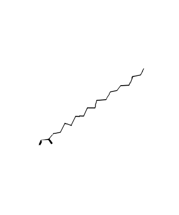 CCCCCCCCCCCCCCCCCC(=O)C=O